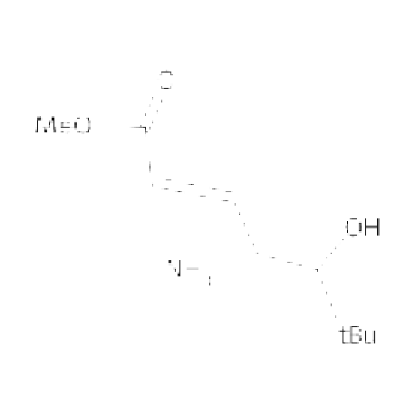 COC(=O)C=CCC(O)C(C)(C)C.N